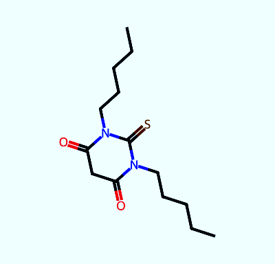 CCCCCN1C(=O)CC(=O)N(CCCCC)C1=S